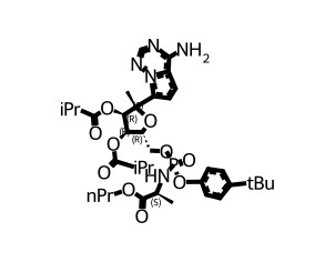 CCCOC(=O)[C@H](C)NP(=O)(OC[C@H]1O[C@@](C)(c2ccc3c(N)ncnn23)[C@H](OC(=O)C(C)C)[C@@H]1OC(=O)C(C)C)Oc1ccc(C(C)(C)C)cc1